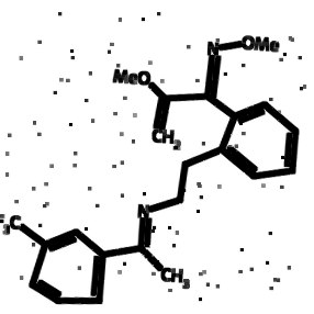 C=C(OC)/C(=N/OC)c1ccccc1CC/N=C(\C)c1cccc(C(F)(F)F)c1